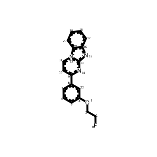 FCCOc1cccc(-c2ccn3c(n2)nc2ccccc23)c1